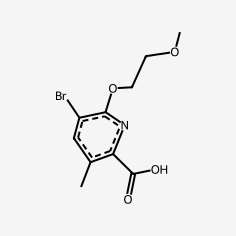 COCCOc1nc(C(=O)O)c(C)cc1Br